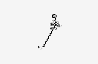 CCCCCCCCCCCCCCNC(=O)C(O)C(C)(O)C(O)C(=O)NCc1ccccn1